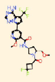 COC[C@H]1C[C@H](NC(=O)c2cc(-c3cc(C(F)(F)F)c4c(N)ncnn34)cnc2OC)CN1C(=O)C1CC(F)(F)C1